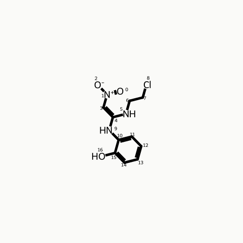 O=[N+]([O-])C=C(NCCCl)Nc1ccccc1O